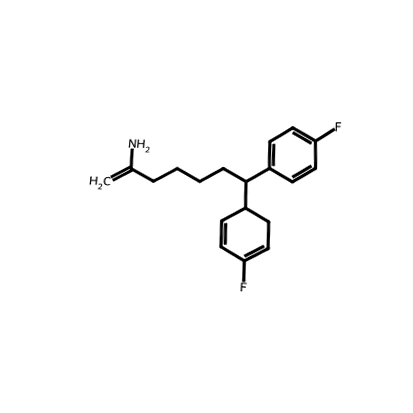 C=C(N)CCCCC(c1ccc(F)cc1)C1C=CC(F)=CC1